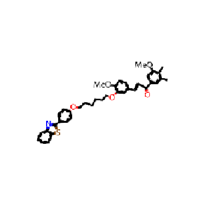 COc1ccc(/C=C/C(=O)c2cc(C)c(C)c(OC)c2)cc1OCCCCCCOc1ccc(-c2nc3ccccc3s2)cc1